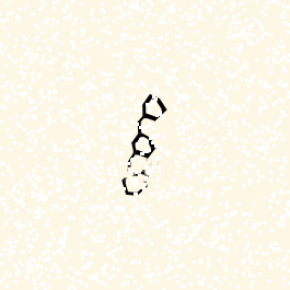 OS1(O)CCCCN1Cc1c[c]cc(Cc2ccccc2)c1